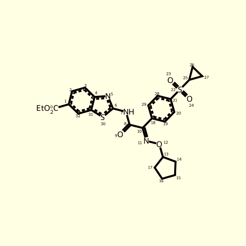 CCOC(=O)c1ccc2nc(NC(=O)/C(=N/OC3CCCC3)c3ccc(S(=O)(=O)C4CC4)cc3)sc2c1